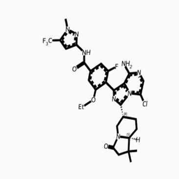 CCOc1cc(C(=O)Nc2cc(C(F)(F)F)n(C)n2)cc(F)c1-c1nc([C@@H]2CC[C@@H]3N(C2)C(=O)CC3(C)C)n2c(Cl)cnc(N)c12